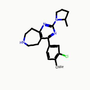 COc1ccc(-c2nc(N3CCCC3C)nc3c2CCNCC3)cc1Cl